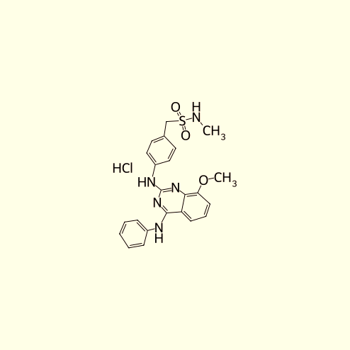 CNS(=O)(=O)Cc1ccc(Nc2nc(Nc3ccccc3)c3cccc(OC)c3n2)cc1.Cl